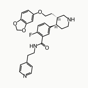 O=C(NCCc1ccncc1)c1cc([C@@H]2CCNC[C@H]2CCOc2ccc3c(c2)OCO3)ccc1F